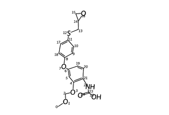 COCOc1cc(Oc2ccc(SCC3CO3)cc2)ccc1NC(=O)O